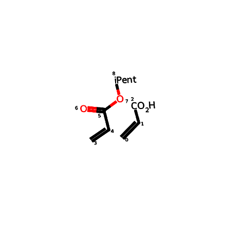 C=CC(=O)O.C=CC(=O)OC(C)CCC